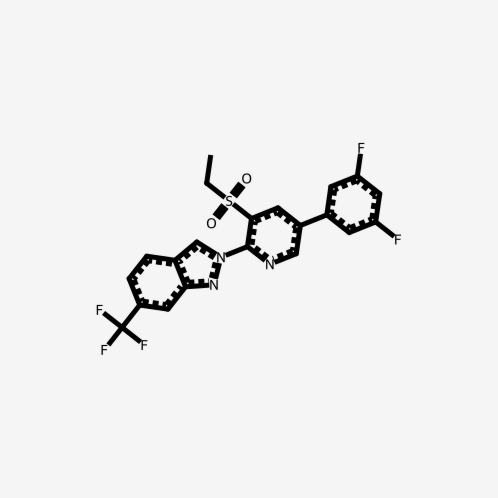 CCS(=O)(=O)c1cc(-c2cc(F)cc(F)c2)cnc1-n1cc2ccc(C(F)(F)F)cc2n1